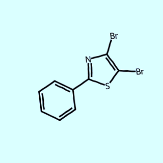 Brc1nc(-c2ccccc2)sc1Br